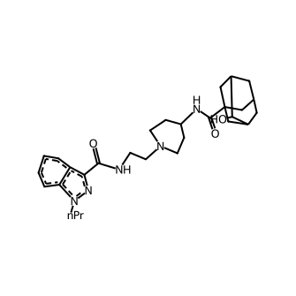 CCCn1nc(C(=O)NCCN2CCC(NC(=O)C34CC5CC(C3)C(O)C(C5)C4)CC2)c2ccccc21